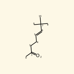 CC(=O)CC/C=C/C(C)(C)C